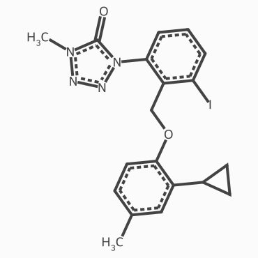 Cc1ccc(OCc2c(I)cccc2-n2nnn(C)c2=O)c(C2CC2)c1